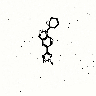 Cn1cc(-c2cnc3c(cnn3C3CCCCO3)c2)cn1